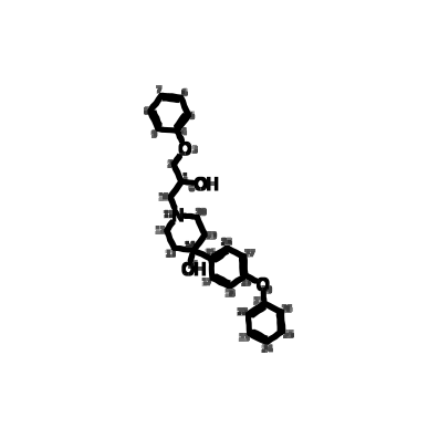 OC(COc1ccccc1)CN1CCC(O)(c2ccc(Oc3ccccc3)cc2)CC1